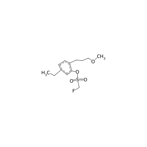 CCc1ccc(CCCOC)c(OS(=O)(=O)CF)c1